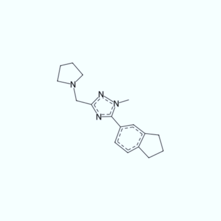 Cn1nc(CN2CCCC2)nc1-c1ccc2c(c1)CCC2